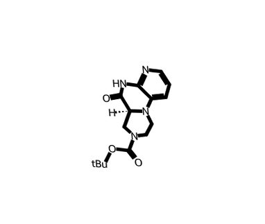 CC(C)(C)OC(=O)N1CCN2c3cccnc3NC(=O)[C@@H]2C1